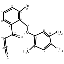 Cc1cc(C)c(OCc2c(Br)cccc2C(=O)N=[N+]=[N-])cc1C